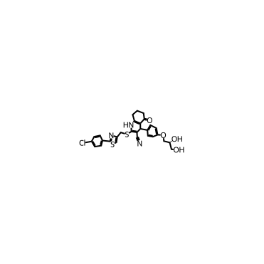 N#CC1=C(SCc2csc(-c3ccc(Cl)cc3)n2)NC2=C(C(=O)CCC2)C1c1ccc(OC[C@H](O)CO)cc1